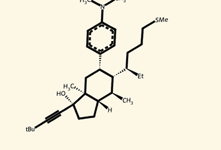 CC[C@H](CCCSC)[C@@H]1[C@@H](C)[C@@H]2CC[C@@](O)(C#CC(C)(C)C)[C@@]2(C)C[C@@H]1c1ccc(N(C)C)cc1